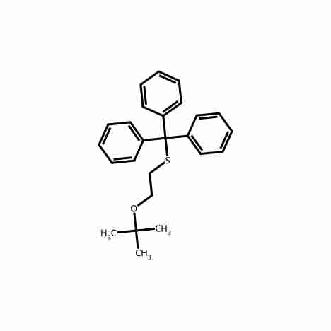 CC(C)(C)OCCSC(c1ccccc1)(c1ccccc1)c1ccccc1